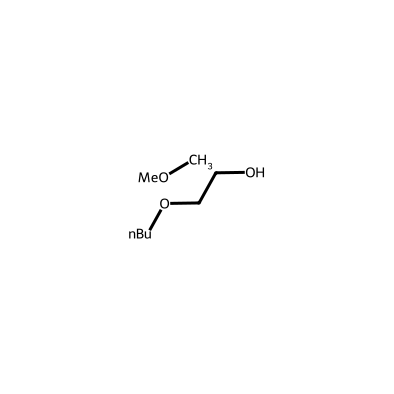 COC.[CH2]CCCOCCO